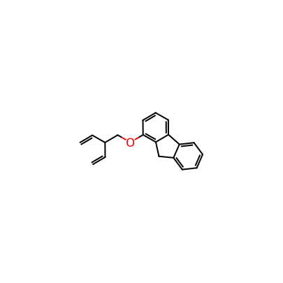 C=CC(C=C)COc1cccc2c1Cc1ccccc1-2